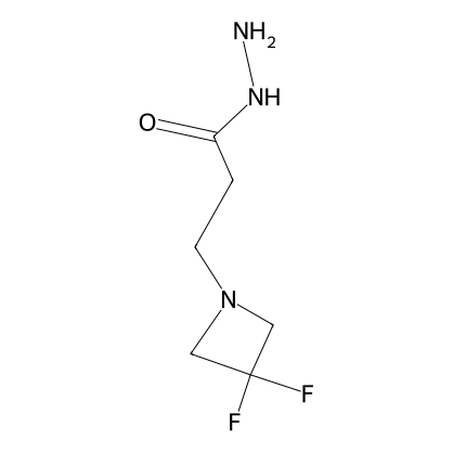 NNC(=O)CCN1CC(F)(F)C1